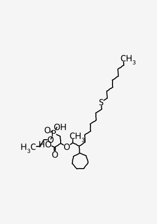 CCCCCCCCSCCCCCCCC(C1CCCCCC1)C(C)OC(CP(=O)(O)OCCC)C(=O)O